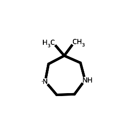 CC1(C)C[N]CCNC1